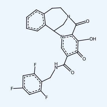 O=C(NCc1c(F)cc(F)cc1F)c1cn2c(c(O)c1=O)C(=O)N1CCc3ccccc3C2C1